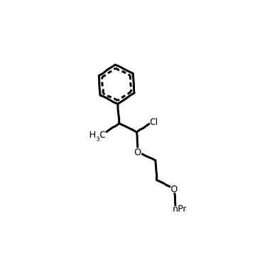 CCCOCCOC(Cl)C(C)c1ccccc1